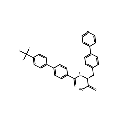 O=C(N[C@@H](Cc1ccc(-c2ccncc2)cc1)C(=O)O)c1ccc(-c2ccc(C(F)(F)F)cc2)cc1